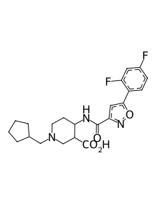 O=C(NC1CCN(CC2CCCC2)CC1C(=O)O)c1cc(-c2ccc(F)cc2F)on1